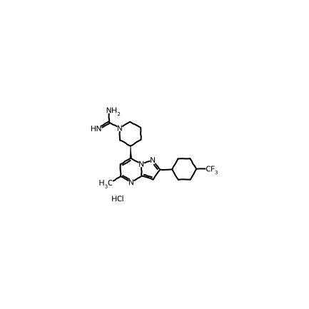 Cc1cc([C@@H]2CCCN(C(=N)N)C2)n2nc(C3CCC(C(F)(F)F)CC3)cc2n1.Cl